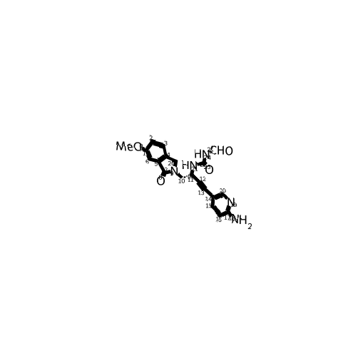 COc1ccc2c(c1)C(=O)N(C[C@@H](C#Cc1ccc(N)nc1)NC(=O)NC=O)C2